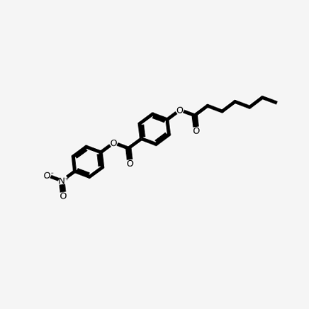 CCCCCCC(=O)Oc1ccc(C(=O)Oc2ccc([N+](=O)[O-])cc2)cc1